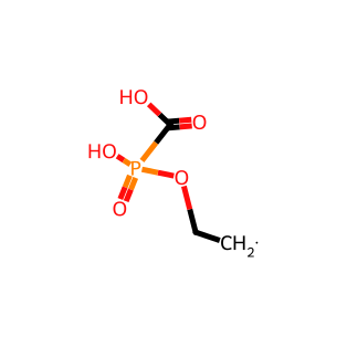 [CH2]COP(=O)(O)C(=O)O